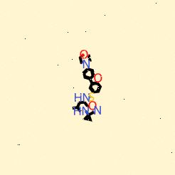 CC(C)CC(NSc1ccc2oc3cc(N4CCOCC4)ccc3c2c1)C(=O)NC1(C#N)CC1